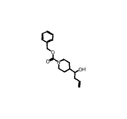 C=CCC(O)C1CCN(C(=O)OCc2ccccc2)CC1